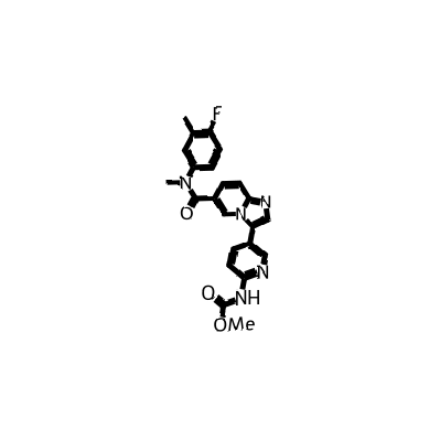 COC(=O)Nc1ccc(-c2cnc3ccc(C(=O)N(C)c4ccc(F)c(C)c4)cn23)cn1